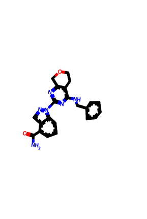 NC(=O)c1cccc2c1cnn2-c1nc2c(c(NCc3ccccc3)n1)CCOC2